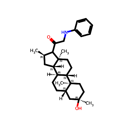 C[C@@H]1C[C@H]2[C@@H]3CC[C@H]4C[C@](C)(O)CC[C@]4(C)[C@H]3CC[C@]2(C)C1C(=O)CNc1ccccc1